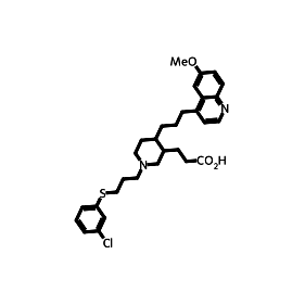 COc1ccc2nccc(CCCC3CCN(CCCSc4cccc(Cl)c4)CC3CCC(=O)O)c2c1